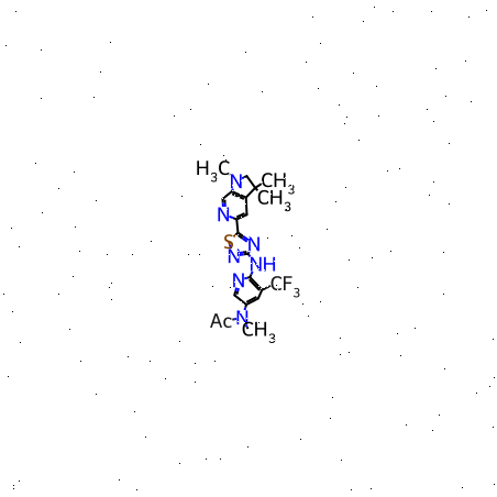 CC(=O)N(C)c1cnc(Nc2nsc(-c3cc4c(cn3)N(C)CC4(C)C)n2)c(C(F)(F)F)c1